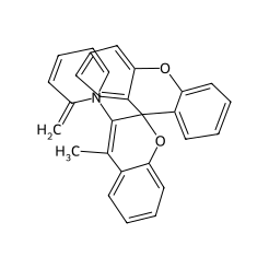 C=C1C=CC=CN1C1=C(C)c2ccccc2OC12c1ccccc1Oc1ccccc12